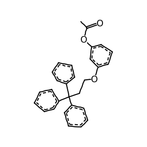 CC(=O)Oc1cccc(OCCC(c2ccccc2)(c2ccccc2)c2ccccc2)c1